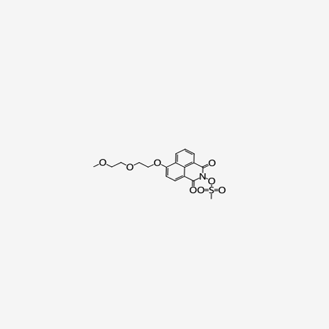 COCCOCCOc1ccc2c3c(cccc13)C(=O)N(OS(C)(=O)=O)C2=O